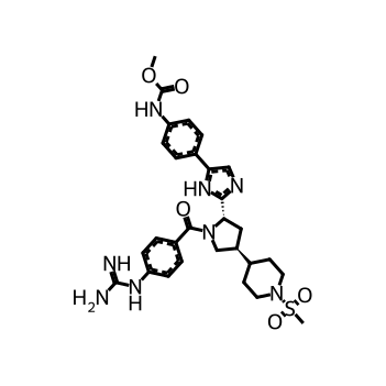 COC(=O)Nc1ccc(-c2cnc([C@@H]3C[C@@H](C4CCN(S(C)(=O)=O)CC4)CN3C(=O)c3ccc(NC(=N)N)cc3)[nH]2)cc1